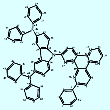 c1ccc(-c2ccc3c4nccnc4c4ccc(-n5c6ccc(N(c7ccccc7)c7ccccc7)cc6c6cc(N(c7ccccc7)c7ccccc7)ccc65)nc4c3n2)cc1